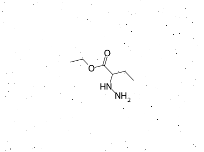 CCOC(=O)C(CC)NN